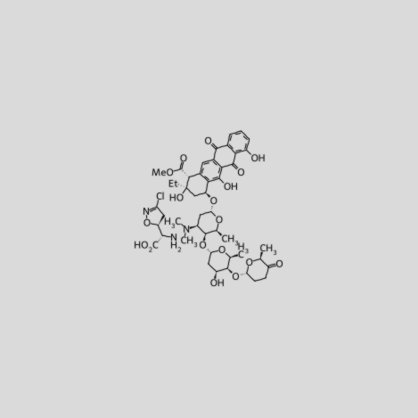 CC[C@@]1(O)C[C@H](O[C@H]2C[C@H](N(C)C)[C@H](O[C@H]3C[C@H](O)[C@H](O[C@H]4CCC(=O)[C@H](C)O4)[C@H](C)O3)[C@H](C)O2)c2c(cc3c(c2O)C(=O)c2c(O)cccc2C3=O)[C@H]1C(=O)OC.N[C@H](C(=O)O)[C@@H]1CC(Cl)=NO1